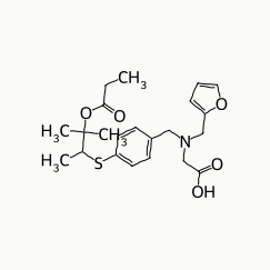 CCC(=O)OC(C)(C)C(C)Sc1ccc(CN(CC(=O)O)Cc2ccco2)cc1